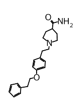 NC(=O)C1CCN(CCc2ccc(OCCc3ccccc3)cc2)CC1